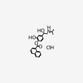 CC(C)NCC(O)c1ccc(OC(=O)c2cccc3ccccc23)c(O)c1.Cl